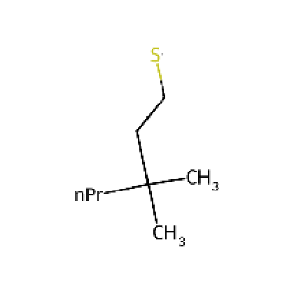 CCCC(C)(C)CC[S]